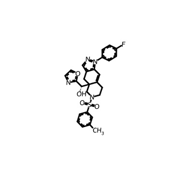 Cc1cccc(S(=O)(=O)N2CCC3=Cc4c(cnn4-c4ccc(F)cc4)CC3([C@H](O)c3ncco3)C2)c1